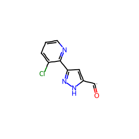 O=[C]c1cc(-c2ncccc2Cl)n[nH]1